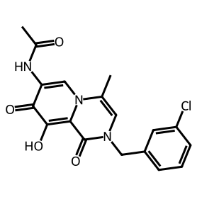 CC(=O)Nc1cn2c(C)cn(Cc3cccc(Cl)c3)c(=O)c2c(O)c1=O